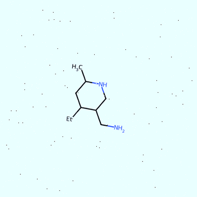 CCC1CC(C)NCC1CN